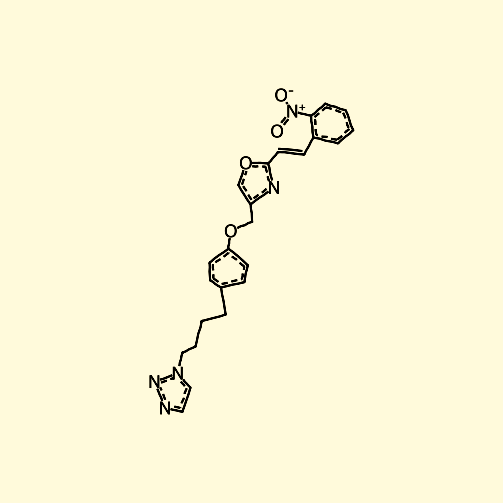 O=[N+]([O-])c1ccccc1C=Cc1nc(COc2ccc(CCCCn3ccnn3)cc2)co1